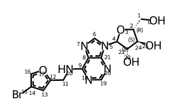 OC[C@H]1OC(n2cnc3c(NCc4cc(Br)co4)ncnc32)[C@@H](O)[C@@H]1O